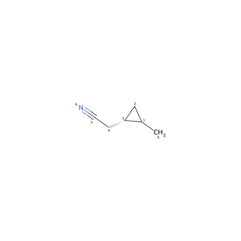 CC1C[C@H]1CC#N